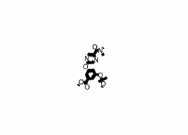 COC(=O)c1cc(Oc2cnc(C(=O)N(C)C)cn2)cc(OC(C)(C)OC)c1